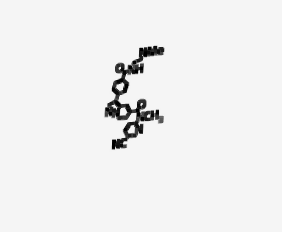 CNCCNC(=O)c1ccc(-c2cnn3ccc(C(=O)N(C)c4ccc(C#N)cn4)cc23)cc1